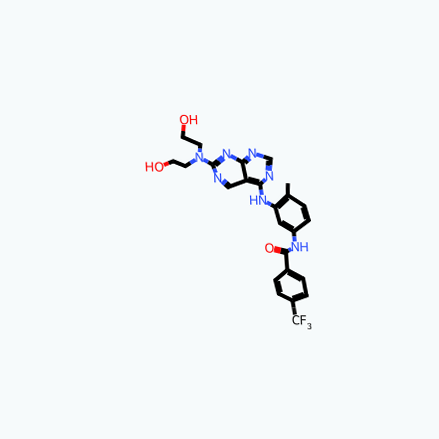 Cc1ccc(NC(=O)c2ccc(C(F)(F)F)cc2)cc1Nc1ncnc2nc(N(CCO)CCO)ncc12